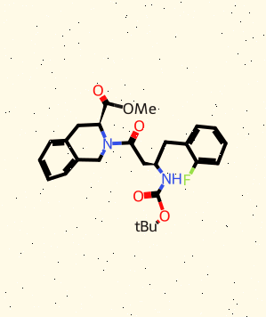 COC(=O)[C@@H]1Cc2ccccc2CN1C(=O)C[C@@H](Cc1ccccc1F)NC(=O)OC(C)(C)C